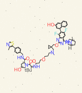 Cc1ncsc1-c1ccc(CNC(=O)[C@@H]2C[C@@H](O)CN2C(=O)[C@@H](NC(=O)CCOCCCN(C)CC2(COc3nc(N4C[C@H]5CC[C@@](C)(C4)N5)c4cc(F)c(-c5cc(O)cc6ccccc56)c(F)c4n3)CC2)C(C)(C)C)cc1